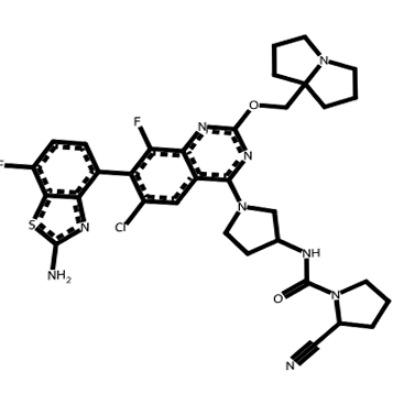 N#CC1CCCN1C(=O)NC1CCN(c2nc(OCC34CCCN3CCC4)nc3c(F)c(-c4ccc(F)c5sc(N)nc45)c(Cl)cc23)C1